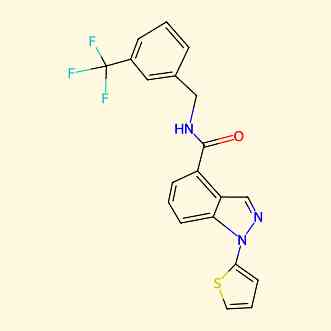 O=C(NCc1cccc(C(F)(F)F)c1)c1cccc2c1cnn2-c1cccs1